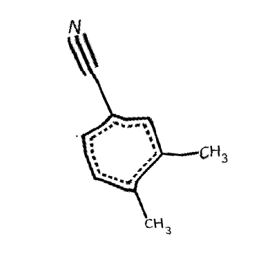 Cc1c[c]c(C#N)cc1C